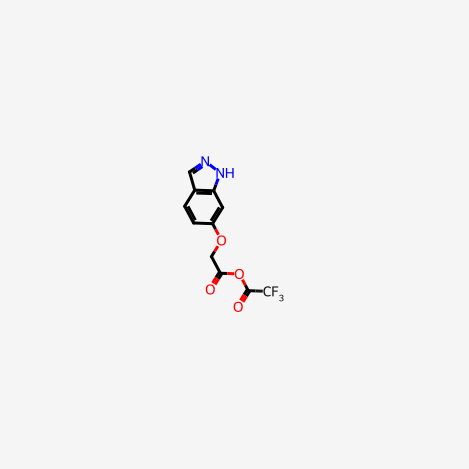 O=C(COc1ccc2cn[nH]c2c1)OC(=O)C(F)(F)F